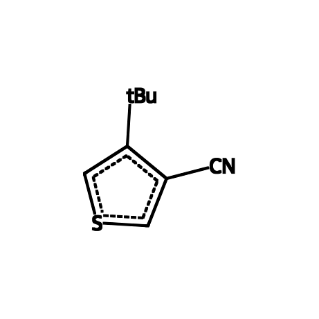 CC(C)(C)c1cscc1C#N